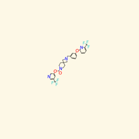 O=C(Oc1cncc(C(F)(F)F)c1)N1CCC2(CC1)CN(Cc1cccc(Oc3cccc(C(F)(F)F)n3)c1)C2